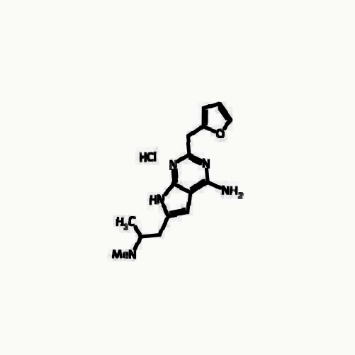 CNC(C)Cc1cc2c(N)nc(Cc3ccco3)nc2[nH]1.Cl